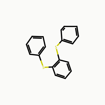 [c]1cccc(Sc2ccccc2)c1Sc1ccccc1